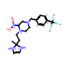 CC1(CCN2CCN(Cc3ccc(C(F)(F)F)cc3)CC2[N+](=O)[O-])NC=CN1